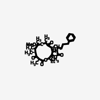 CC[C@H]1OC(=O)[C@H](C)C(=O)[C@H](C)[C@@H](C)[C@](C)(OC)C[C@@H](C)C(=O)[C@H](C)[C@H]2N(CCCCc3ccccc3)C(=O)O[C@]12C